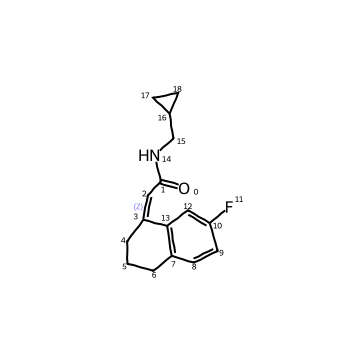 O=C(/C=C1/CCCc2ccc(F)cc21)NCC1CC1